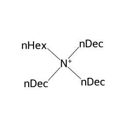 CCCCCCCCCC[N+](CCCCCC)(CCCCCCCCCC)CCCCCCCCCC